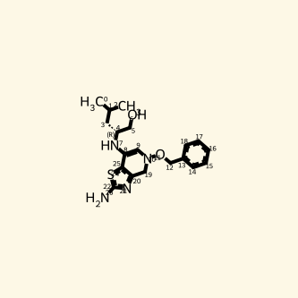 CC(C)C[C@H](CO)NC1=CN(OCc2ccccc2)Cc2nc(N)sc21